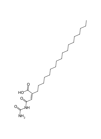 CCCCCCCCCCCCCCCCCCC(=CC(=O)NC(N)=O)C(=O)O